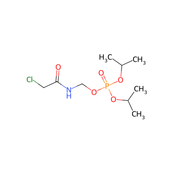 CC(C)OP(=O)(OCNC(=O)CCl)OC(C)C